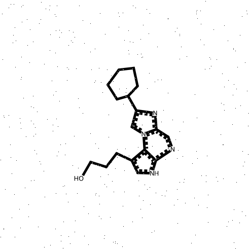 OCCCc1c[nH]c2ncc3nc(C4CCCCC4)cn3c12